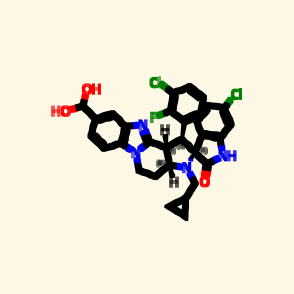 O=C1Nc2cc(Cl)ccc2[C@]12[C@H](c1cccc(Cl)c1F)[C@H]1c3nc4cc(C(O)O)ccc4n3CC[C@H]1N2CC1CC1